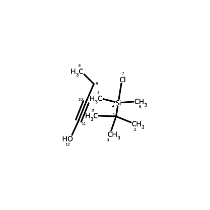 CC(C)(C)[Si](C)(C)Cl.CCC#CO